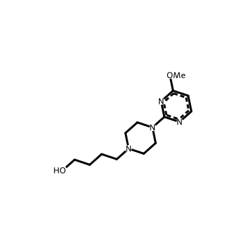 COc1ccnc(N2CCN(CCCCO)CC2)n1